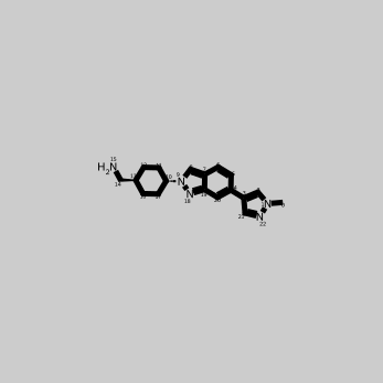 Cn1cc(-c2ccc3cn([C@H]4CC[C@H](CN)CC4)nc3c2)cn1